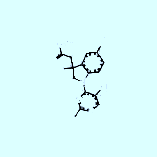 COC(=O)CC1(C)CN(c2nc(Cl)ncc2Cl)c2ccc(F)cc21